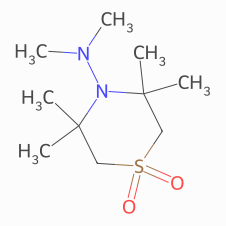 CN(C)N1C(C)(C)CS(=O)(=O)CC1(C)C